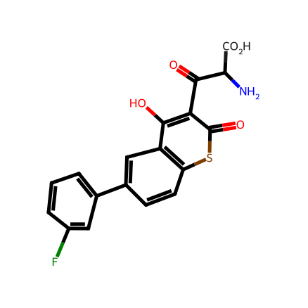 NC(C(=O)O)C(=O)c1c(O)c2cc(-c3cccc(F)c3)ccc2sc1=O